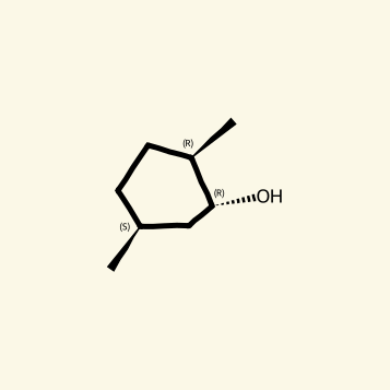 C[C@H]1CC[C@@H](C)[C@H](O)C1